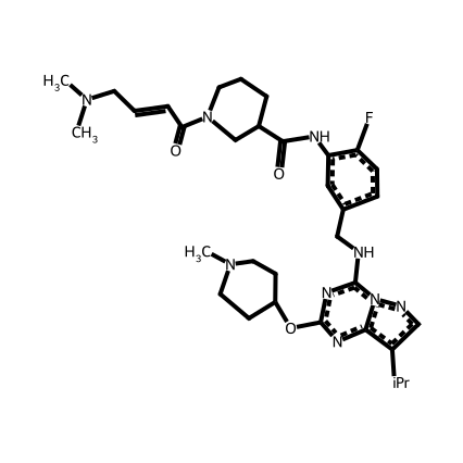 CC(C)c1cnn2c(NCc3ccc(F)c(NC(=O)C4CCCN(C(=O)C=CCN(C)C)C4)c3)nc(OC3CCN(C)CC3)nc12